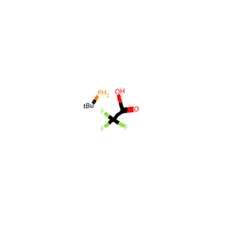 CC(C)(C)P.O=C(O)C(F)(F)F